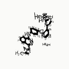 Cc1csc(-c2nnc(Nc3ccc(Oc4ncccc4-c4ccnc(NP(=O)(O)O)n4)cc3)c3ccccc23)n1.I.I